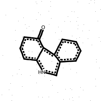 O=c1[c]ccc2[nH]cc3ccccc3c1-2